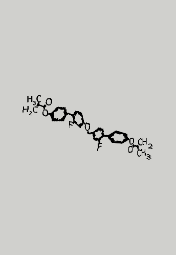 C=C(C)C(=O)Oc1ccc(-c2ccc(COc3ccc(-c4ccc(OC(=O)C(=C)C)cc4)c(F)c3)cc2F)cc1